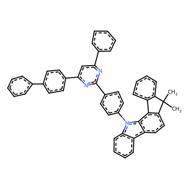 CC1(C)c2ccccc2-c2c1ccc1c3ccccc3n(-c3ccc(-c4nc(-c5ccccc5)cc(-c5ccc(-c6ccccc6)cc5)n4)cc3)c21